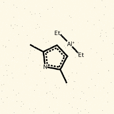 C[CH2][Al+][CH2]C.Cc1ccc(C)[n-]1